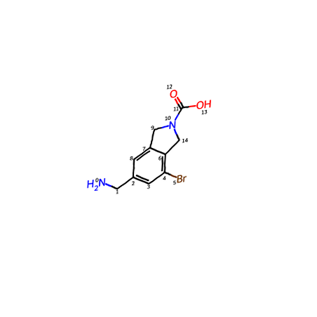 NCc1cc(Br)c2c(c1)CN(C(=O)O)C2